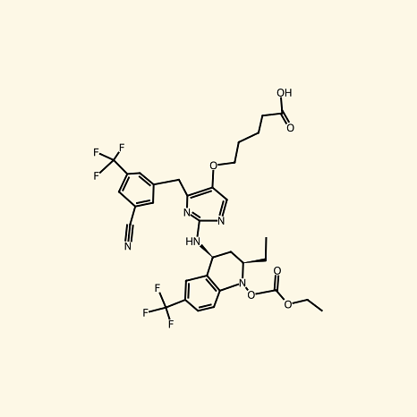 CCOC(=O)ON1c2ccc(C(F)(F)F)cc2[C@@H](Nc2ncc(OCCCCC(=O)O)c(Cc3cc(C#N)cc(C(F)(F)F)c3)n2)C[C@H]1CC